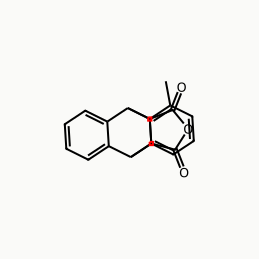 Cc1cccc2c1C1c3ccccc3C2C2C(=O)OC(=O)C12